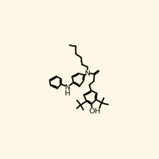 C=C(CCc1cc(C(C)(C)C)c(O)c(C(C)(C)C)c1)N(CCCCCC)c1ccc(Nc2ccccc2)cc1